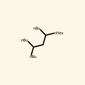 CCCCCCC(CCCC)CC(CCCC)CCCC